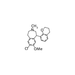 COc1cc2c(cc1Cl)CCN(C)CC2c1cccc2c1OCCC2